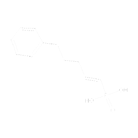 O=P(O)(O)C=CCCCc1ccccc1